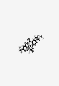 CS(=O)(=O)c1ccc(OCC(F)(F)F)c(C(=O)N2Cc3cc(C(F)(F)F)cnc3C2)c1